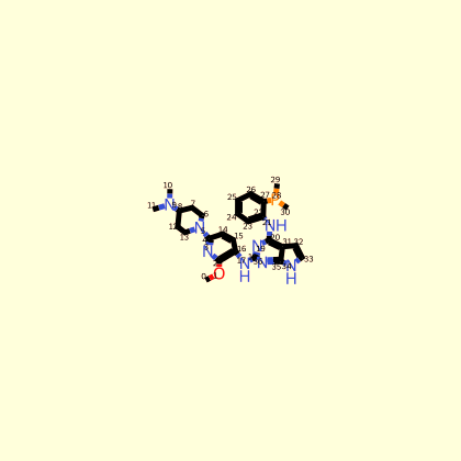 COc1nc(N2CCC(N(C)C)CC2)ccc1Nc1nc(Nc2ccccc2P(C)C)c2cc[nH]c2n1